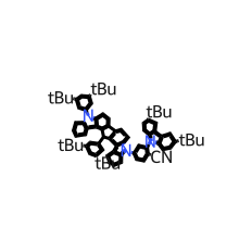 CC(C)(C)c1cc(C2c3c(ccc4c3c3ccccc3n4-c3cc(C(C)(C)C)cc(C(C)(C)C)c3)-c3ccc4c(c32)c2ccccc2n4-c2ccc(C#N)c(-n3c4ccc(C(C)(C)C)cc4c4cc(C(C)(C)C)ccc43)c2)cc(C(C)(C)C)c1